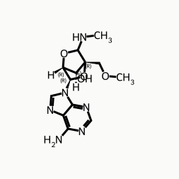 CNC1O[C@H]2[C@H](n3cnc4c(N)ncnc43)O[C@]1(COC)[C@H]2O